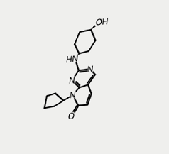 O=c1ccc2cnc(N[C@H]3CC[C@H](O)CC3)nc2n1C1CCCC1